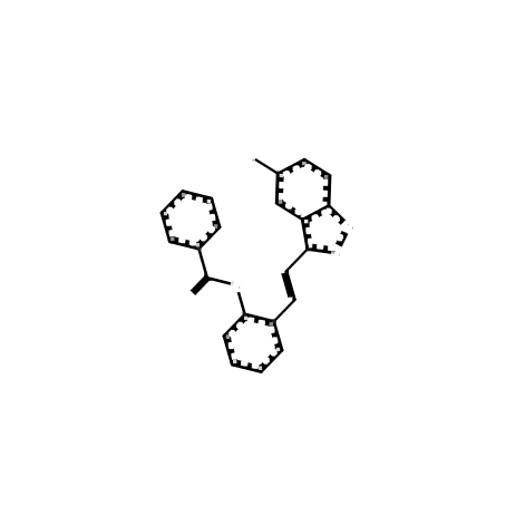 O=C(Nc1ccccc1C=Cc1n[nH]c2ccc(I)cc12)c1ccccc1